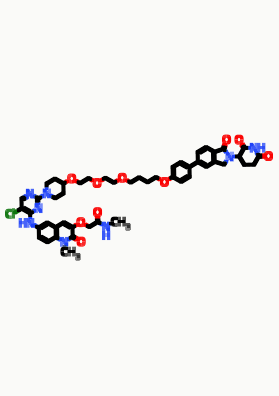 CNC(=O)COc1cc2cc(Nc3nc(N4CCC(OCCOCCOCCCCOc5ccc(-c6ccc7c(c6)CN(C6CCC(=O)NC6=O)C7=O)cc5)CC4)ncc3Cl)ccc2n(C)c1=O